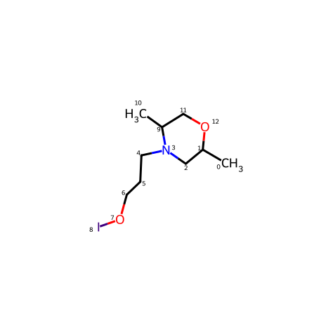 CC1CN(CCCOI)C(C)CO1